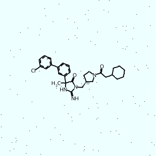 CC1(c2cccc(-c3cccc(Cl)c3)c2)NC(=N)N(C[C@H]2CCN(C(=O)CC3CCCCC3)C2)C1=O